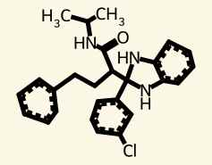 CC(C)NC(=O)C(CCc1ccccc1)C1(c2cccc(Cl)c2)Nc2ccccc2N1